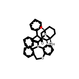 O=C(O)[C@@H]1[C@H]2CCC[C@@H](CN1C(=O)N1c3ccccc3COc3ccccc31)N2C(=O)C(c1ccccc1)c1ccccc1